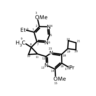 CCc1c(OC)ncnc1C1(C)CC1c1nc(OC)c(C(C)C)c(C2CCC2)n1